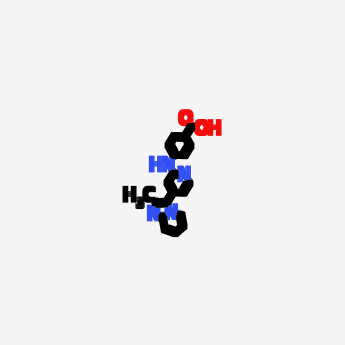 Cc1nc2ccccn2c1-c1ccnc(Nc2ccc(C(=O)O)cc2)c1